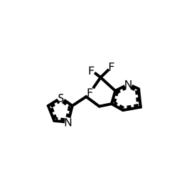 FC(F)(F)c1ncccc1CCc1nccs1